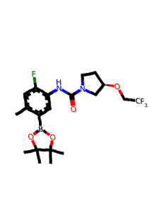 Cc1cc(F)c(NC(=O)N2CC[C@@H](OCC(F)(F)F)C2)cc1B1OC(C)(C)C(C)(C)O1